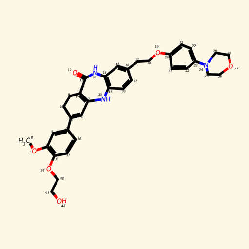 COc1cc(C2=CC3=C(CC2)C(=O)Nc2cc(CCOc4ccc(N5CCOCC5)cc4)ccc2N3)ccc1OCCO